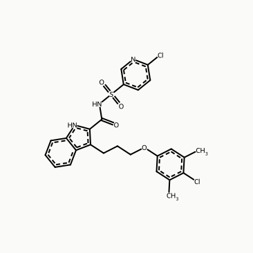 Cc1cc(OCCCc2c(C(=O)NS(=O)(=O)c3ccc(Cl)nc3)[nH]c3ccccc23)cc(C)c1Cl